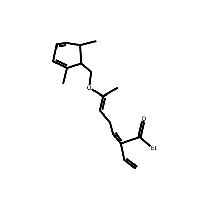 C=CC(=CC/C=C(\C)OCC1C(C)=CC=CC1C)C(=O)CC